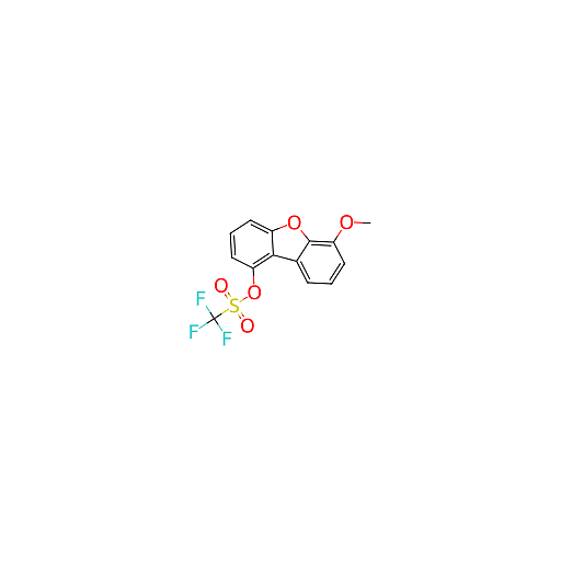 COc1cccc2c1oc1cccc(OS(=O)(=O)C(F)(F)F)c12